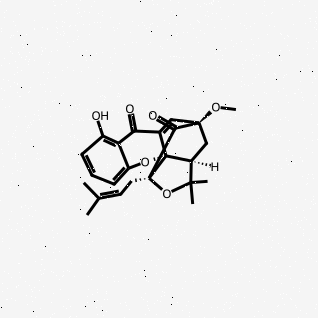 CO[C@@]12C=C3C(=O)c4c(O)cccc4O[C@@]34[C@@H](C1)C(C)(C)O[C@@]4(CC=C(C)C)C2=O